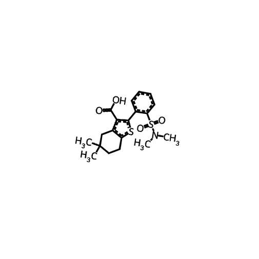 CN(C)S(=O)(=O)c1ccccc1-c1sc2c(c1C(=O)O)CC(C)(C)CC2